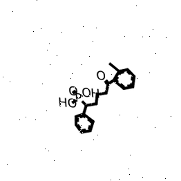 Cc1ccccc1C(=O)CCCC(c1ccccc1)P(=O)(O)O